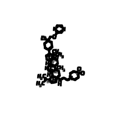 C=C(C)[C@@H]1CC[C@]2(NCCN3CCS(=O)(=O)CC3)CC[C@]3(C)[C@H](CC[C@@H]4[C@@]5(C)CC=C(C6=CC[C@@](CC)(COc7cnccn7)CC6)C(C)(C)[C@@H]5CC[C@]43C)[C@@H]12